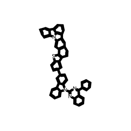 c1ccc(-c2nc(-n3c4ccccc4c4cc(-c5ccc6sc7c8cc9c(cc8ccc7c6c5)c5cccc6c7ccccc7n9c65)ccc43)nc3ccccc23)cc1